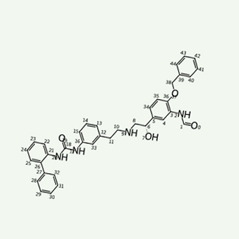 O=CNc1cc([C@H](O)CNCCc2cccc(NC(=O)Nc3ccccc3-c3ccccc3)c2)ccc1OCc1ccccc1